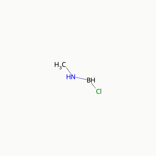 CNBCl